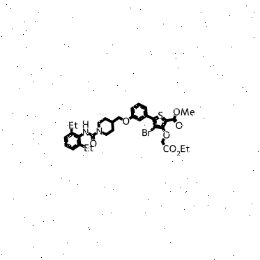 CCOC(=O)COc1c(C(=O)OC)sc(-c2cccc(OCC3CCN(C(=O)Nc4c(CC)cccc4CC)CC3)c2)c1Br